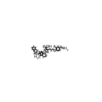 Cc1c(Nc2nc3ccccc3s2)nnc2c1CCCN2c1nc(C(=O)O)c(CCCOc2ccc(CN)cc2F)s1